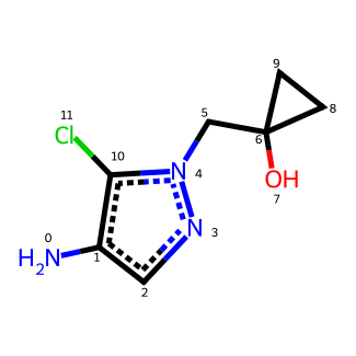 Nc1cnn(CC2(O)CC2)c1Cl